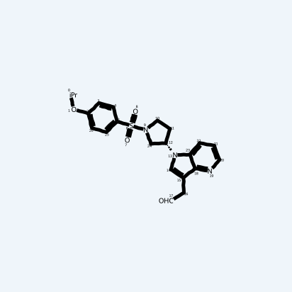 CC(C)Oc1ccc(S(=O)(=O)N2CC[C@H](n3cc(CC=O)c4ncccc43)C2)cc1